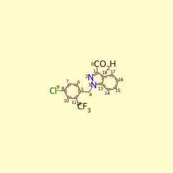 O=C(O)c1nn(Cc2ccc(Cl)cc2C(F)(F)F)c2ccccc12